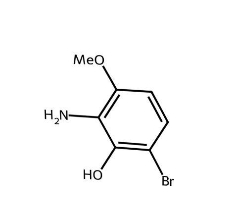 COc1ccc(Br)c(O)c1N